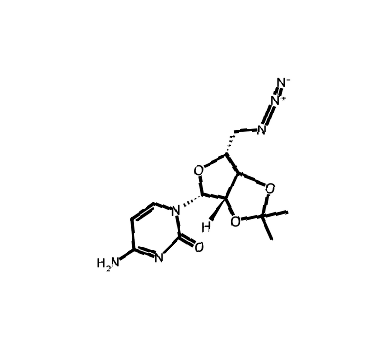 CC1(C)OC2[C@@H](CN=[N+]=[N-])O[C@@H](n3ccc(N)nc3=O)[C@H]2O1